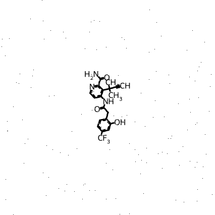 C#CC(C)(C)c1c(NC(=O)Cc2ccc(C(F)(F)F)cc2O)ccnc1C(N)=O